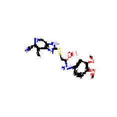 COc1ccc(NC(O)CSc2nc3c(C)c(C#N)ncc3[nH]2)cc1OC